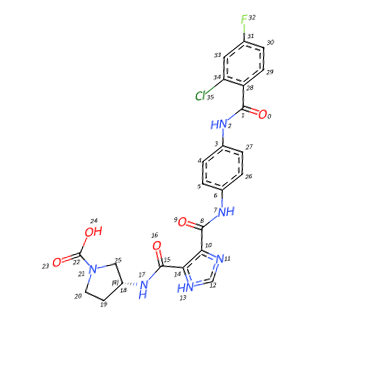 O=C(Nc1ccc(NC(=O)c2nc[nH]c2C(=O)N[C@@H]2CCN(C(=O)O)C2)cc1)c1ccc(F)cc1Cl